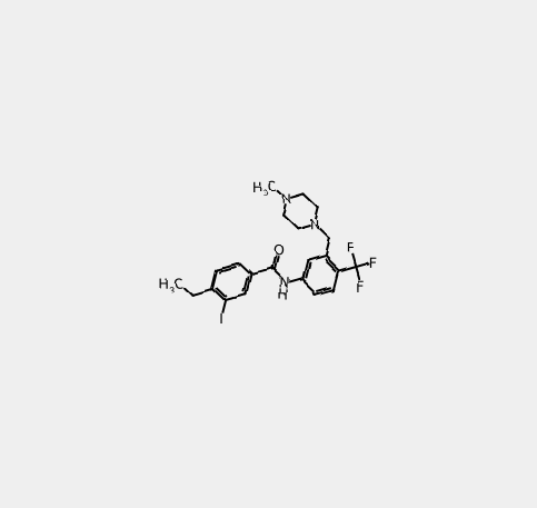 CCc1ccc(C(=O)Nc2ccc(C(F)(F)F)c(CN3CCN(C)CC3)c2)cc1I